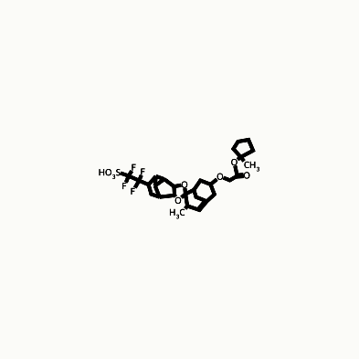 CC1C=C2CC(OCC(=O)OC3(C)CCCC3)CC(C2)C12OC1C3CC(C(F)(F)C(F)(F)S(=O)(=O)O)C4C3C4C1O2